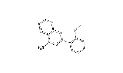 COc1ccccc1-c1cc2ccncc2c(N)n1